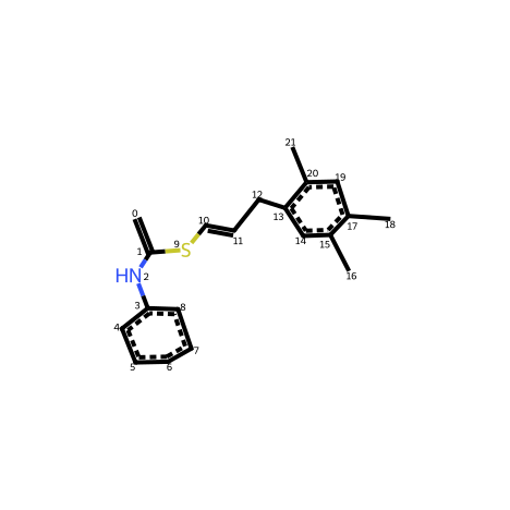 C=C(Nc1ccccc1)S/C=C/Cc1cc(C)c(C)cc1C